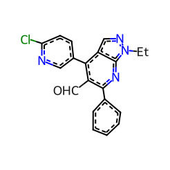 CCn1ncc2c(-c3ccc(Cl)nc3)c(C=O)c(-c3ccccc3)nc21